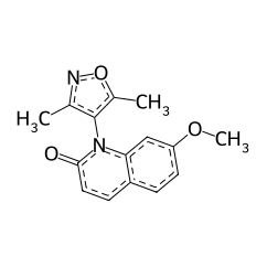 COc1ccc2ccc(=O)n(-c3c(C)noc3C)c2c1